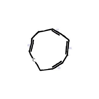 [C]1=C\C=C/C/C=C\CC\C=C/1